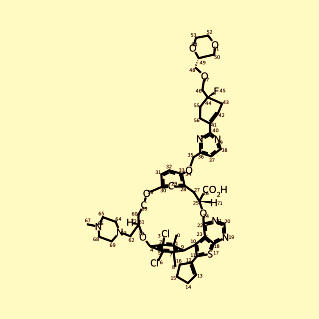 Cc1c(Cl)c2c(Cl)c(C)c1-c1c(C3=CCCC3)sc3ncnc(c13)O[C@@H](C(=O)O)Cc1cc(ccc1OCc1ccnc(C3=CC[C@@](F)(COC[C@H]4COCCO4)CC3)n1)OCC[C@@H](CN1CCN(C)CC1)O2